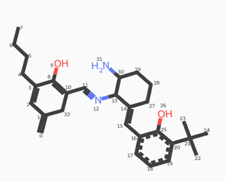 C=C1C=C(CCCC)C(O)=C(C=NC2C(=Cc3cccc(C(C)(C)C)c3O)CCCC2N)C1